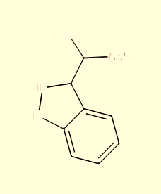 CCCC(NC)C1BBc2ccccc21